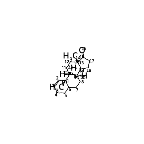 C[C@]12C=CCCC1CC[C@@H]1[C@H]2CC[C@]2(C)C(=O)CC[C@@H]12